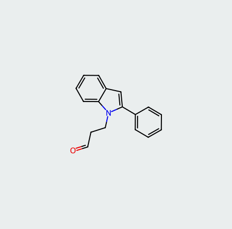 O=CCCn1c(-c2ccccc2)cc2ccccc21